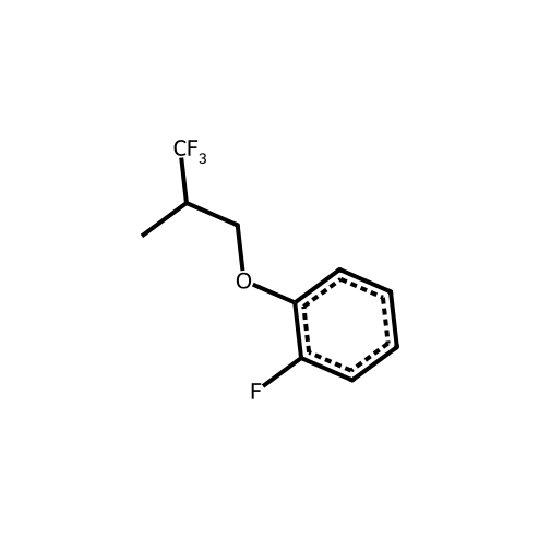 CC(COc1ccccc1F)C(F)(F)F